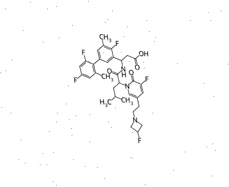 Cc1cc(-c2c(C)cc(F)cc2F)cc(C(CC(=O)O)NC(=O)C(CC(C)C)n2cc(CCN3CC(F)C3)cc(F)c2=O)c1F